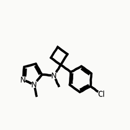 CN(c1ccnn1C)C1(c2ccc(Cl)cc2)CCC1